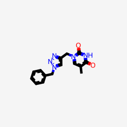 Cc1cn(Cc2cn(Cc3ccccc3)nn2)c(=O)[nH]c1=O